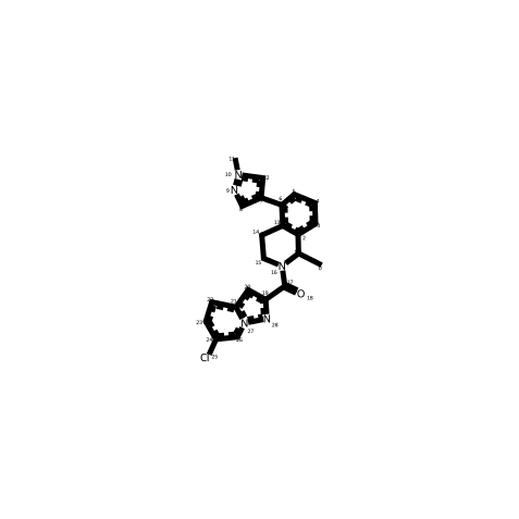 CC1c2cccc(-c3cnn(C)c3)c2CCN1C(=O)c1cc2ccc(Cl)cn2n1